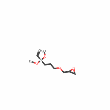 C=C[Si](CCCOCC1CO1)(OCC)OCC